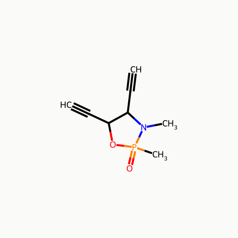 C#CC1OP(C)(=O)N(C)C1C#C